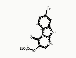 CCOC(=O)Oc1cnc2sc3cc(C(C)C)ccc3n2c1=O